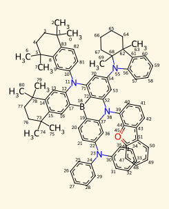 CC1(C)CCC(C)(C)c2cc(N3c4cc5c(cc4B4c6ccc(N(c7ccccc7)c7ccccc7)cc6N(c6cccc7c6oc6ccccc67)c6cc(N7c8ccccc8C8(C)CCCCC78C)cc3c64)C(C)(C)CCC5(C)C)ccc21